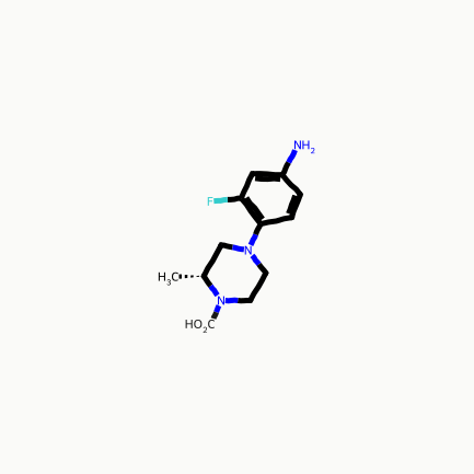 C[C@@H]1CN(c2ccc(N)cc2F)CCN1C(=O)O